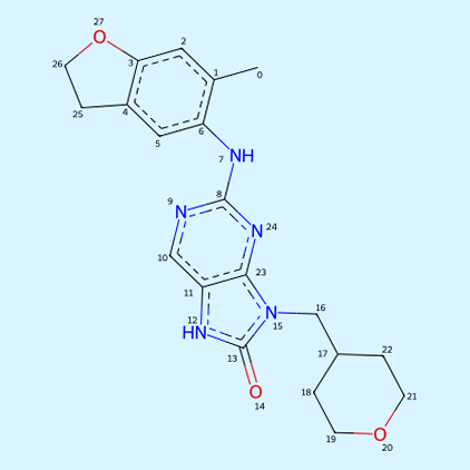 Cc1cc2c(cc1Nc1ncc3[nH]c(=O)n(CC4CCOCC4)c3n1)CCO2